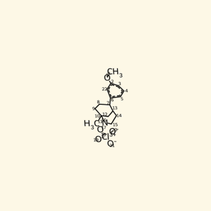 COc1cccc(C2CCC3(C)CC2CCN3O[Cl+3]([O-])([O-])[O-])c1